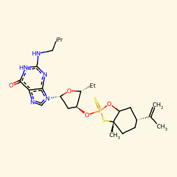 C=C(C)[C@@H]1CC[C@]2(C)SP(=S)(O[C@H]3C[C@H](n4cnc5c(=O)[nH]c(NCC(C)C)nc54)O[C@@H]3CC)OC2C1